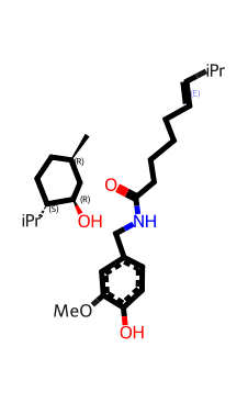 CC(C)[C@@H]1CC[C@@H](C)C[C@H]1O.COc1cc(CNC(=O)CCCC/C=C/C(C)C)ccc1O